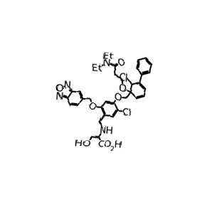 CCN(CC)C(=O)CCOC1(COc2cc(OCc3ccc4nonc4c3)c(CNC(CO)C(=O)O)cc2Cl)C=CC=C(c2ccccc2)C1Cl